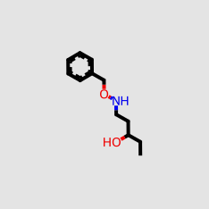 CCC(O)CCNOCc1ccccc1